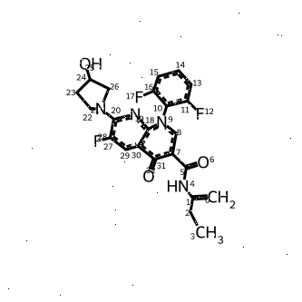 C=C(CC)NC(=O)c1cn(-c2c(F)cccc2F)c2nc(N3CCC(O)C3)c(F)cc2c1=O